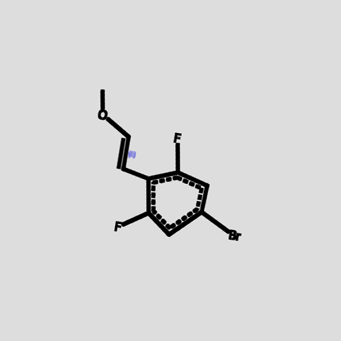 CO/C=C/c1c(F)cc(Br)cc1F